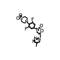 Cc1cn(C[C@H]2CN(c3cc(F)c(N4CCS(=O)(=O)CC4)c(F)c3)C(=O)O2)nn1